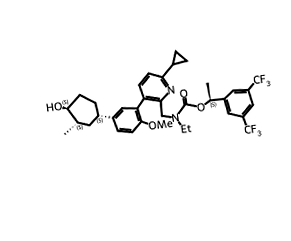 CCN(Cc1nc(C2CC2)ccc1-c1cc([C@H]2CC[C@H](O)[C@@H](C)C2)ccc1OC)C(=O)O[C@@H](C)c1cc(C(F)(F)F)cc(C(F)(F)F)c1